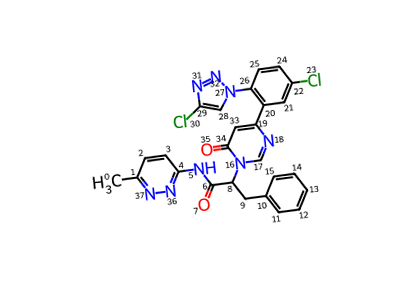 Cc1ccc(NC(=O)C(Cc2ccccc2)n2cnc(-c3cc(Cl)ccc3-n3cc(Cl)nn3)cc2=O)nn1